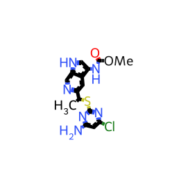 COC(=O)Nc1c[nH]c2cnc(C(C)Sc3nc(N)cc(Cl)n3)cc12